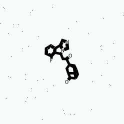 O=C1C2CC3CC1CC(C(=O)CC1c4c(F)cccc4-c4cncn41)(C3)C2